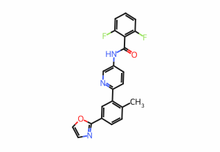 Cc1ccc(-c2ncco2)cc1-c1ccc(NC(=O)c2c(F)cccc2F)cn1